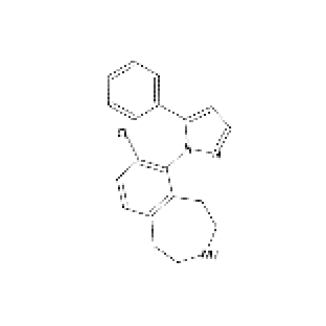 Clc1ccc2c(c1-n1nccc1-c1ccccc1)CCNCC2